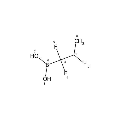 CC(F)C(F)(F)B(O)O